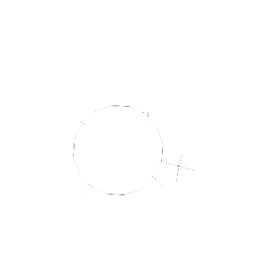 CN1CCCNCCCNCCC(C(F)(F)F)[N]([Ti+3])CCC1.[Cl-].[Cl-].[Cl-]